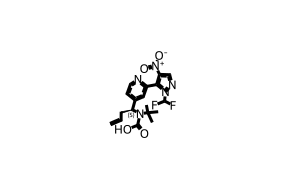 C=CC[C@@H](c1ccnc(-c2c([N+](=O)[O-])cnn2C(F)F)c1)N(C(=O)O)C(C)(C)C